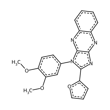 COc1ccc(-n2c(-c3ccco3)nc3nc4ccccc4nc32)cc1OC